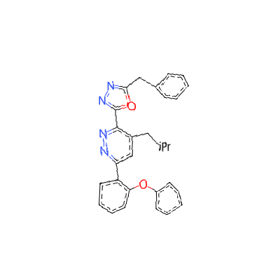 CC(C)Cc1cc(-c2ccccc2Oc2ccccc2)nnc1-c1nnc(Cc2ccccc2)o1